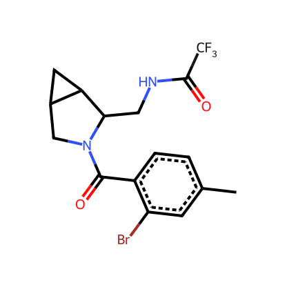 Cc1ccc(C(=O)N2CC3CC3C2CNC(=O)C(F)(F)F)c(Br)c1